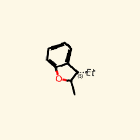 CC[C@H]1c2ccccc2OC1C